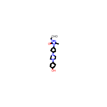 Cc1nn(CC=O)c(=O)n1-c1ccc(N2CCN(c3ccc(O)cc3)CC2)cc1